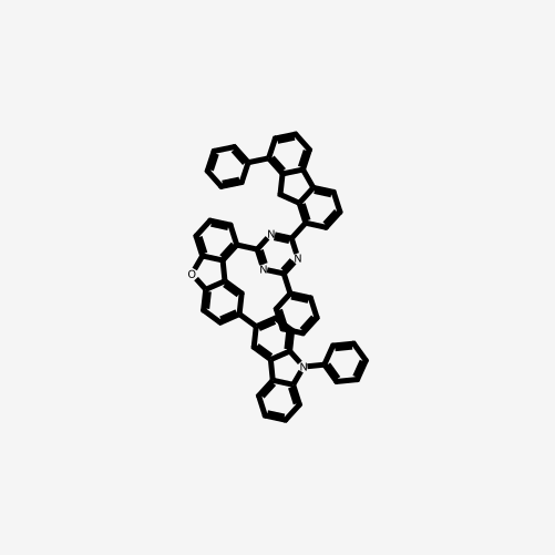 c1ccc(-c2nc(-c3cccc4c3Cc3c(-c5ccccc5)cccc3-4)nc(-c3cccc4oc5ccc(-c6ccc7c(c6)c6ccccc6n7-c6ccccc6)cc5c34)n2)cc1